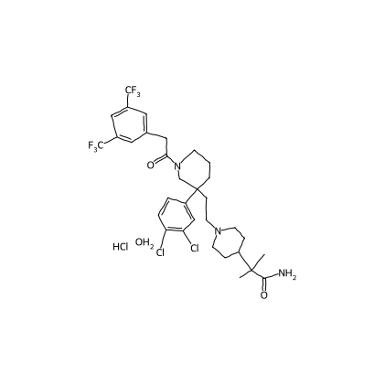 CC(C)(C(N)=O)C1CCN(CCC2(c3ccc(Cl)c(Cl)c3)CCCN(C(=O)Cc3cc(C(F)(F)F)cc(C(F)(F)F)c3)C2)CC1.Cl.O